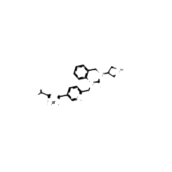 CN1CC(N2Cc3ccccc3N(Cc3ccc(-c4nnc(C(F)F)o4)cn3)C2=O)C1